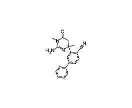 CN1C(=O)CC(C)(c2cc(-c3ccccc3)ccc2C#N)N=C1N